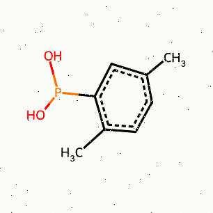 Cc1ccc(C)c(P(O)O)c1